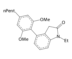 CCCCCc1cc(OC)c(-c2cccc3c2CC(=O)N3CC)c(OC)c1